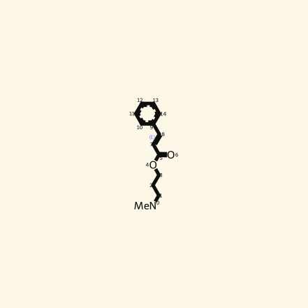 CNCCCOC(=O)/C=C/c1ccccc1